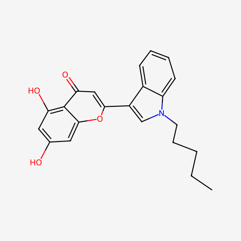 CCCCCn1cc(-c2cc(=O)c3c(O)cc(O)cc3o2)c2ccccc21